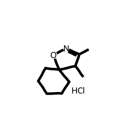 CC1=NOC2(CCCCC2)C1C.Cl